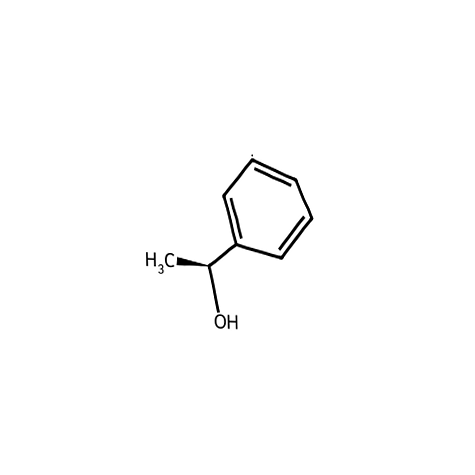 C[C@H](O)c1c[c]ccc1